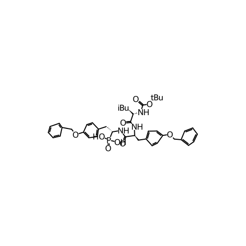 CC[C@H](C)[C@H](NC(=O)OC(C)(C)C)C(=O)N[C@@H](Cc1ccc(OCc2ccccc2)cc1)C(=O)N[C@@H](Cc1ccc(OCc2ccccc2)cc1)P(=O)(O)O